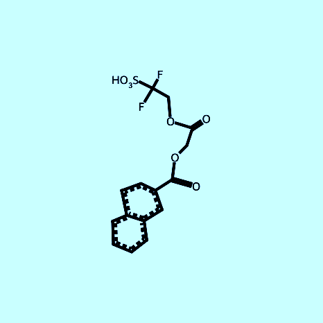 O=C(COC(=O)c1ccc2ccccc2c1)OCC(F)(F)S(=O)(=O)O